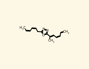 C=C/C=C\C=C(/C)c1nnc(C/C=C\C=C/C)o1